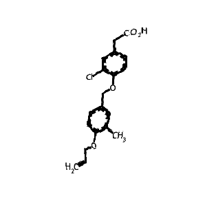 C=CCOc1ccc(COc2ccc(CC(=O)O)cc2Cl)cc1C